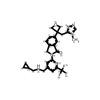 Cn1cnnc1CC1(c2ccc3c(c2)C(=O)N(c2cc(CNCC4CC4)cc(C(F)(F)F)n2)C3)COC1